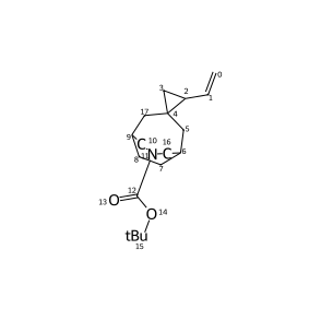 C=CC1CC12CC1CCC(CN(C(=O)OC(C)(C)C)C1)C2